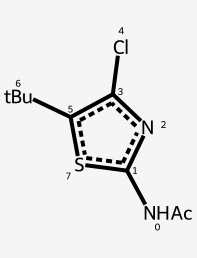 CC(=O)Nc1nc(Cl)c(C(C)(C)C)s1